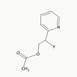 CC(=O)OCC(F)c1ccccn1